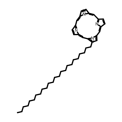 CCCCCCCCCCCCCCCCCCCCCCCCc1cc2cc3nc(cc4ccc(cc5nc(cc1[nH]2)C=C5)[nH]4)C=C3